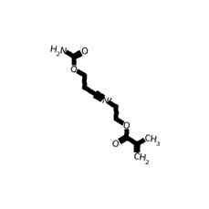 C=C(C)C(=O)OCC[N+]#CCCOC(N)=O